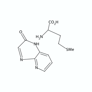 CSCCC(N)C(=O)O.O=c1cnc2ncccc2[nH]1